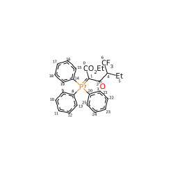 CCOC(=O)C(C(=O)C(CC)C(F)(F)F)=P(c1ccccc1)(c1ccccc1)c1ccccc1